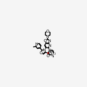 Cc1cc(C2OC=C(C(N)=O)N2c2cc3oc(N4CCOCC4)nc3nc2N2CCN(C)CC2)ccn1